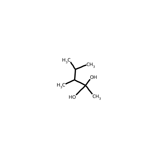 CC(C)C(C)C(C)(O)O